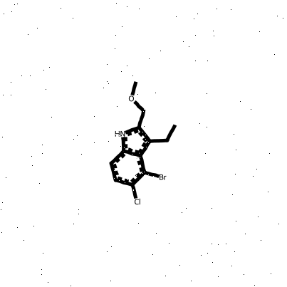 CCc1c(COC)[nH]c2ccc(Cl)c(Br)c12